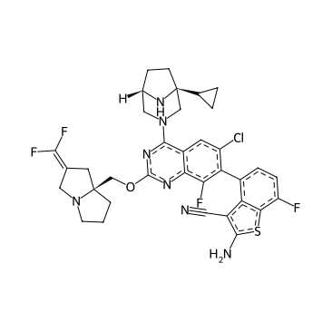 N#Cc1c(N)sc2c(F)ccc(-c3c(Cl)cc4c(N5C[C@@H]6CC[C@](C7CC7)(C5)N6)nc(OC[C@@]56CCCN5CC(=C(F)F)C6)nc4c3F)c12